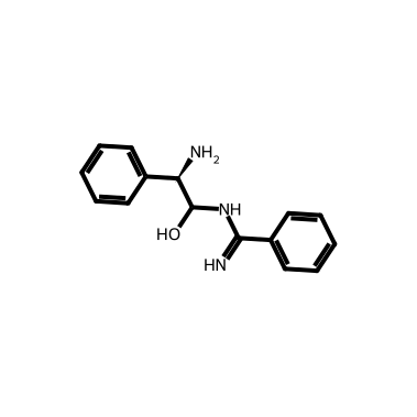 N=C(NC(O)[C@H](N)c1ccccc1)c1ccccc1